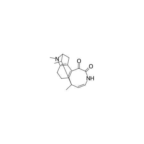 CC1C2CC3=C(CCC4=C3C(=O)C(=O)N/C=C\C41C)N2C